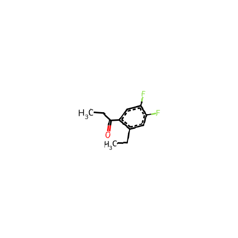 CCC(=O)c1cc(F)c(F)cc1CC